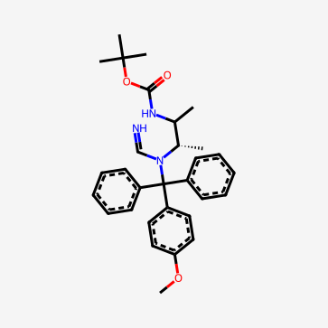 COc1ccc(C(c2ccccc2)(c2ccccc2)N(C=N)[C@@H](C)C(C)NC(=O)OC(C)(C)C)cc1